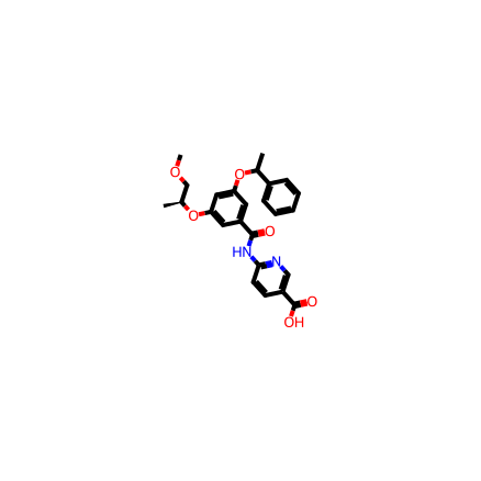 COC[C@H](C)Oc1cc(OC(C)c2ccccc2)cc(C(=O)Nc2ccc(C(=O)O)cn2)c1